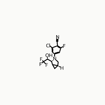 N#Cc1c(F)cc(N2C[C@@H]3CC3[C@@H]2[C@H](O)C(F)(F)F)cc1Cl